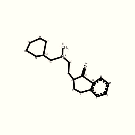 CN(CCC1CCc2ccccc2C1=O)CC1CCCCC1